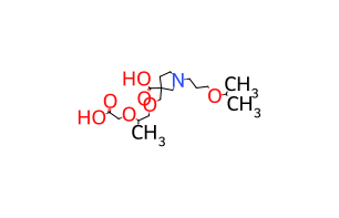 CC(C)OCCCN1CCC(COCC(C)OCC(=O)O)(C(=O)O)C1